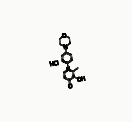 Cc1c(O)c(=O)ccn1-c1ccc(N2CCOCC2)cc1.Cl